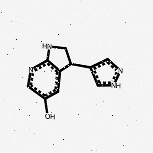 Oc1cnc2c(c1)C(c1cn[nH]c1)CN2